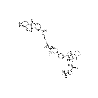 CN(CC(=O)NCCCCCCNc1ccc2c(c1)C(=O)N(C1CCC(=O)NC1=O)C2=O)C1CC(c2cccc(C3CSC(NC(=O)CNC(=O)C4CCN(S(C)(=O)=O)C4)(C4CCCCC4)N3)c2)CCN1